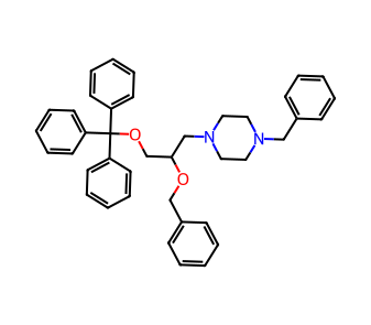 c1ccc(COC(COC(c2ccccc2)(c2ccccc2)c2ccccc2)CN2CCN(Cc3ccccc3)CC2)cc1